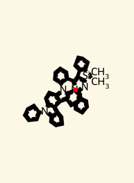 C[Si]1(C)c2ccccc2-c2c(-c3ccccc3-n3c4ccccc4c4c5c6ccccc6n(-c6ccccc6)c5ccc43)nc(-c3ccccc3)nc21